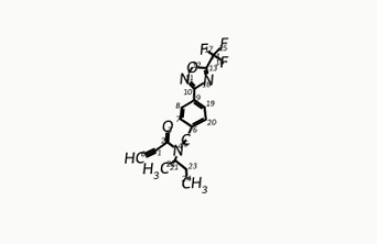 C#CC(=O)N(Cc1ccc(-c2noc(C(F)(F)F)n2)cc1)C(C)CC